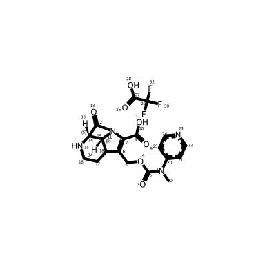 CN(C(=O)OCC1=C(C(=O)O)N2C(=O)[C@H]3NCCC1[C@H]32)c1ccncc1.O=C(O)C(F)(F)F